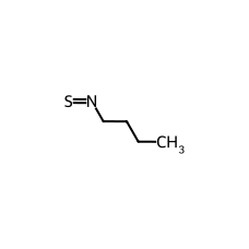 CCCCN=S